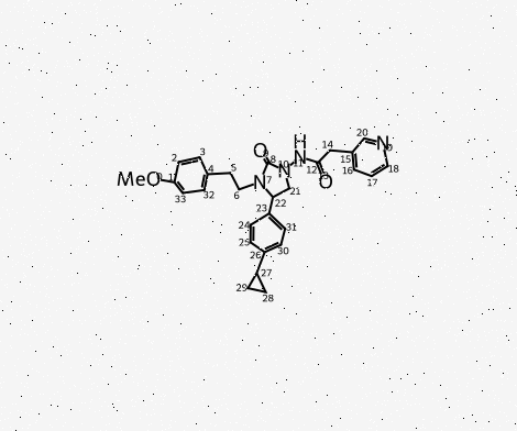 COc1ccc(CCN2C(=O)N(NC(=O)Cc3cccnc3)CC2c2ccc(C3CC3)cc2)cc1